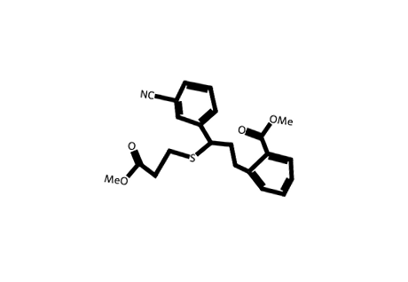 COC(=O)CCSC(CCc1ccccc1C(=O)OC)c1cccc(C#N)c1